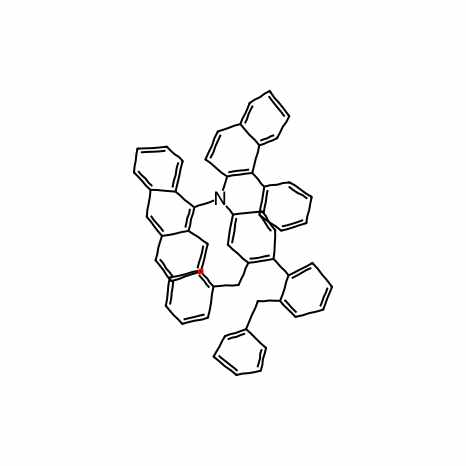 c1ccc(Cc2ccccc2-c2ccc(N(c3ccc4ccccc4c3-c3ccccc3)c3c4ccccc4cc4ccccc34)cc2Cc2ccccc2)cc1